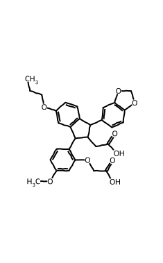 CCCOc1ccc2c(c1)C(c1ccc(OC)cc1OCC(=O)O)C(CC(=O)O)C2c1ccc2c(c1)OCO2